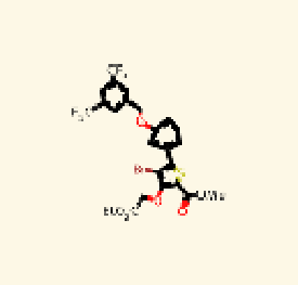 CCOC(=O)COc1c(C(=O)OC)sc(-c2cccc(OCc3cc(C(F)(F)F)cc(C(F)(F)F)c3)c2)c1Br